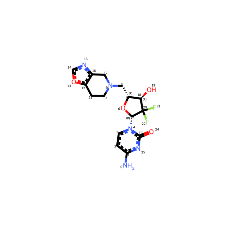 Nc1ccn([C@@H]2O[C@H](CN3CCc4ocnc4C3)[C@@H](O)C2(F)F)c(=O)n1